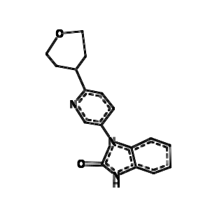 O=c1[nH]c2ccccc2n1-c1ccc(C2CCOCC2)nc1